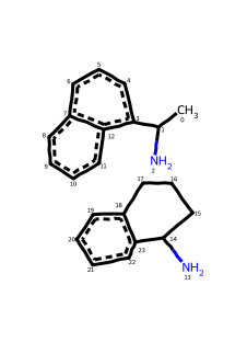 CC(N)c1cccc2ccccc12.NC1CCCc2ccccc21